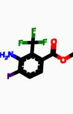 COC(=O)c1ccc(I)c(N)c1C(F)(F)F